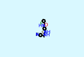 CC(NC(=S)Nc1ccc(NC(=O)c2ccccc2F)cc1)c1ccc(N(C)C)cc1